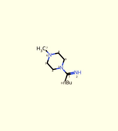 CCCCC(=N)N1CCN(C)CC1